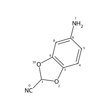 N#CC1Oc2ccc(N)cc2O1